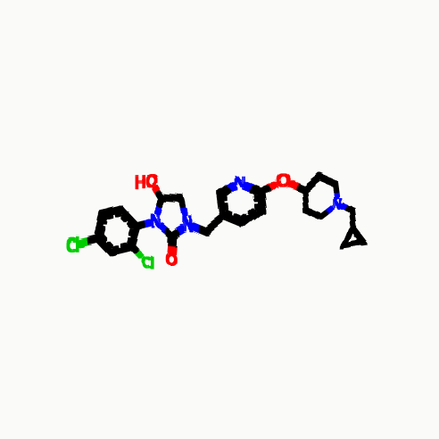 O=C1N(Cc2ccc(OC3CCN(CC4CC4)CC3)nc2)CC(O)N1c1ccc(Cl)cc1Cl